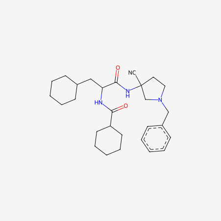 N#CC1(NC(=O)C(CC2CCCCC2)NC(=O)C2CCCCC2)CCN(Cc2ccccc2)C1